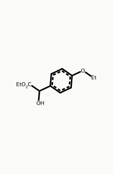 CCOC(=O)C(O)c1ccc(OCC)cc1